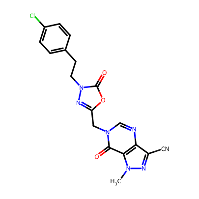 Cn1nc(C#N)c2ncn(Cc3nn(CCc4ccc(Cl)cc4)c(=O)o3)c(=O)c21